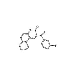 O=C(c1cccc(F)c1)c1cc2c(ccc3ccccc32)oc1=O